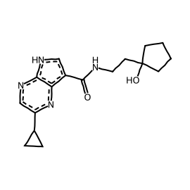 O=C(NCCC1(O)CCCC1)c1c[nH]c2ncc(C3CC3)nc12